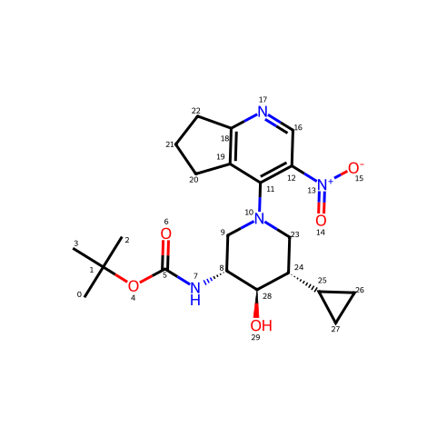 CC(C)(C)OC(=O)N[C@@H]1CN(c2c([N+](=O)[O-])cnc3c2CCC3)C[C@H](C2CC2)[C@H]1O